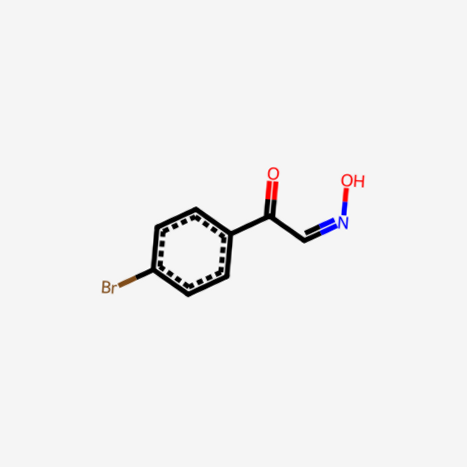 O=C(/C=N\O)c1ccc(Br)cc1